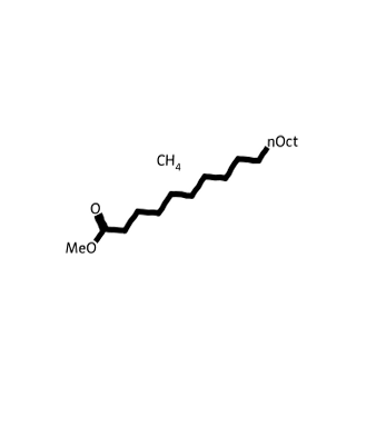 C.CCCCCCCCCCCCCCCCCC(=O)OC